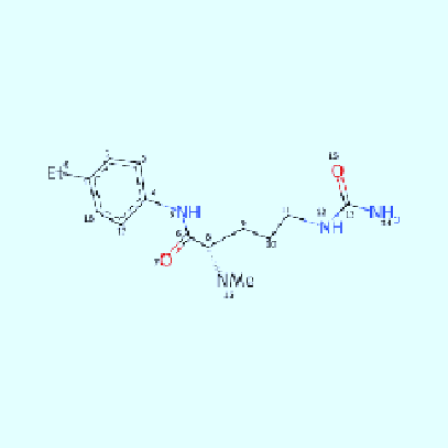 CCc1ccc(NC(=O)[C@H](CCCNC(N)=O)NC)cc1